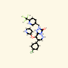 O=c1n(Cc2ccc(C(F)(F)F)nc2)nc2c(Oc3cccnc3)c(-c3ccc(Cl)cc3)cnn12